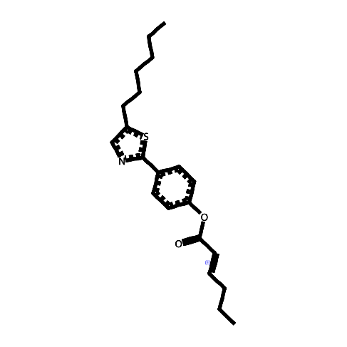 CCC/C=C/C(=O)Oc1ccc(-c2ncc(CCCCCC)s2)cc1